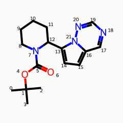 CC(C)(C)OC(=O)N1CCCCC1c1ccc2cncnn12